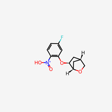 O=[N+](O)c1ccc(F)cc1O[C@H]1C[C@@H]2CO[C@H]1C2